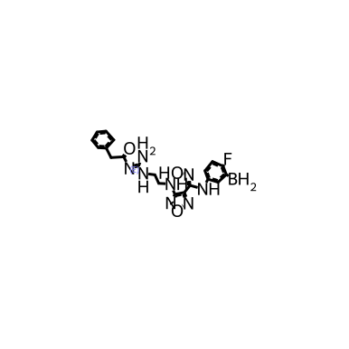 Bc1cc(NC(=NO)c2nonc2NCCN/C(N)=N/C(=O)Cc2ccccc2)ccc1F